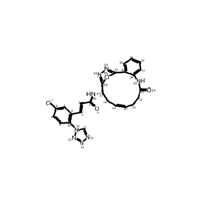 O=C(/C=C/c1cc(Cl)ccc1-n1cnnn1)N[C@H]1C/C=C\CCC(=O)Nc2ccccc2-c2nnc1o2